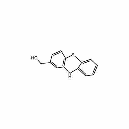 OCc1ccc2c(c1)Nc1ccccc1S2